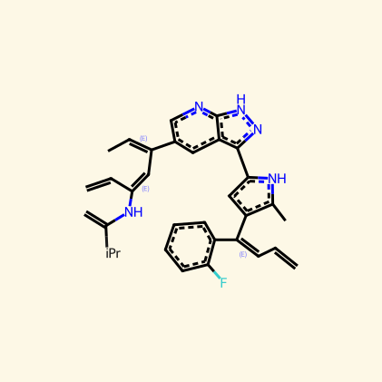 C=C/C=C(/c1ccccc1F)c1cc(-c2n[nH]c3ncc(C(/C=C(\C=C)NC(=C)C(C)C)=C/C)cc23)[nH]c1C